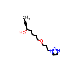 CC#CC(O)CCCCOCCCn1ccnn1